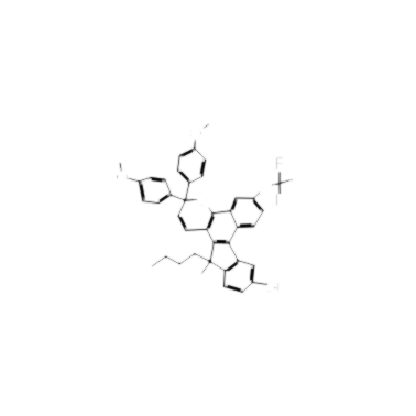 CCCCC1(C)c2ccc(Br)cc2-c2c1c1c(c3cc(OC(F)(F)F)ccc23)OC(c2ccc(OC)cc2)(c2ccc(OC)cc2)C=C1